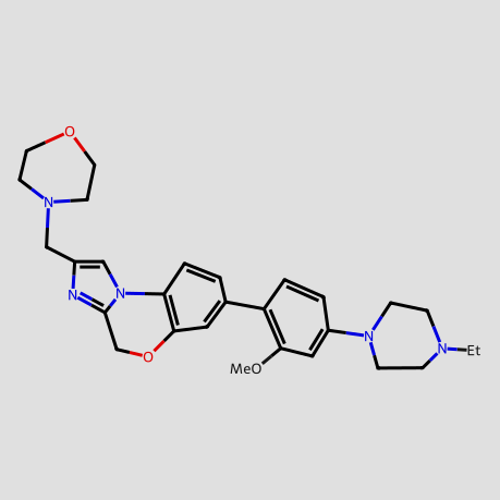 CCN1CCN(c2ccc(-c3ccc4c(c3)OCc3nc(CN5CCOCC5)cn3-4)c(OC)c2)CC1